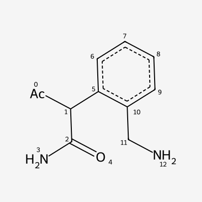 CC(=O)C(C(N)=O)c1ccccc1CN